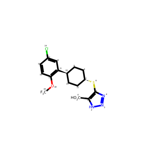 O=C(O)c1[nH]nnc1S[C@H]1CC[C@H](c2cc(Cl)ccc2OC(F)(F)F)CC1